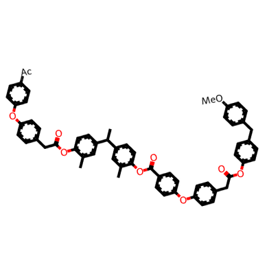 COc1ccc(Cc2ccc(OC(=O)Cc3ccc(Oc4ccc(C(=O)Oc5ccc(C(C)c6ccc(OC(=O)Cc7ccc(Oc8ccc(C(C)=O)cc8)cc7)c(C)c6)cc5C)cc4)cc3)cc2)cc1